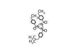 CCc1ccc(C(=O)N2CN(C(=O)c3ccc(CC)cc3)CN(C(=O)c3ccc(CC(C)C)cc3)C2)cc1